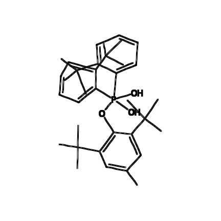 Cc1cc(C(C)(C)C)c(OP(O)(O)(c2ccccc2C(C)(C)C)c2ccccc2C(C)(C)C)c(C(C)(C)C)c1